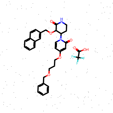 O=C(O)C(F)(F)F.O=C1NCCC(n2ccc(OCCCOCc3ccccc3)cc2=O)C1OCc1ccc2ccccc2c1